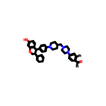 CCC(=O)c1ccc(N2CCN(CC3CCN(c4ccc(C5c6ccc(O)cc6OCC5C5=CCCC=C5)cc4)CC3)CC2)cc1CC